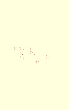 N#Cc1cc(F)cc([C@@H]2CC=NN2C(=O)N2CCN(c3ncc(F)c(/C(C=N)=N/N)n3)CC2)c1